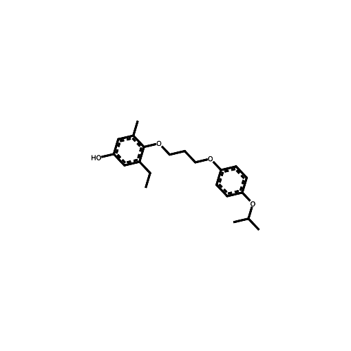 CCc1cc(O)cc(C)c1OCCCOc1ccc(OC(C)C)cc1